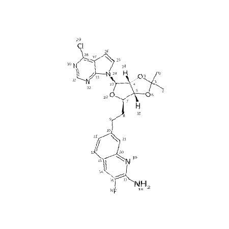 CC1(C)O[C@@H]2[C@H](O1)[C@@H](CCc1ccc3cc(F)c(N)nc3c1)O[C@H]2n1ccc2c(Cl)ncnc21